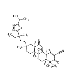 CCC(C)(CC[C@]1(C)CC[C@]2(C)[C@@H](C1)C(=O)C=C1[C@@]3(C)C=C(C#N)C(=O)C(C)(C)[C@@H]3CC[C@]12C)c1nnc([C@H](C)O)o1